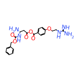 N=C(N)NCCOc1ccc(C(=O)OC(=O)C[C@@H](N)NC(=O)OCc2ccccc2)cc1